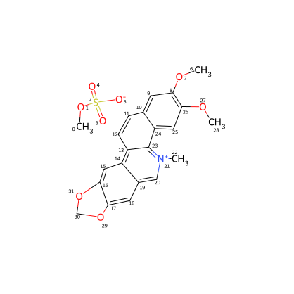 COS(=O)(=O)[O-].COc1cc2ccc3c4cc5c(cc4c[n+](C)c3c2cc1OC)OCO5